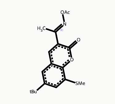 CSc1cc(C(C)(C)C)cc2cc(/C(C)=N/OC(C)=O)c(=O)oc12